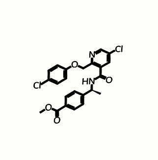 COC(=O)c1ccc([C@H](C)NC(=O)c2cc(Cl)cnc2COc2ccc(Cl)cc2)cc1